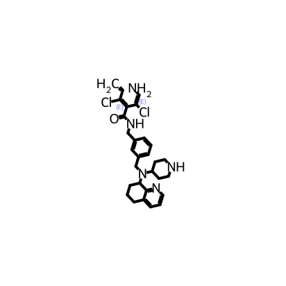 C=C/C(Cl)=C(C(=O)NCc1cccc(CN(C2CCNCC2)C2CCCc3cccnc32)c1)\C(Cl)=C/N